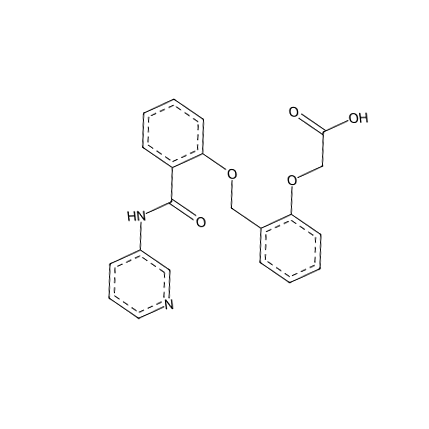 O=C(O)COc1ccccc1COc1ccccc1C(=O)Nc1cccnc1